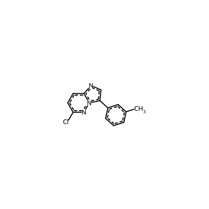 Cc1cccc(-c2cnc3ccc(Cl)nn23)c1